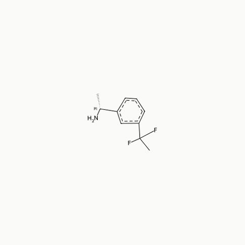 C[C@@H](N)c1cccc(C(C)(F)F)c1